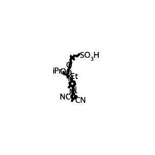 CCN(CC(COC(C)C)OCCOCC[N+](C)(C)CCCS(=O)(=O)O)c1ccc(/N=N/c2sc(C#N)c(C)c2C#N)c(C)c1